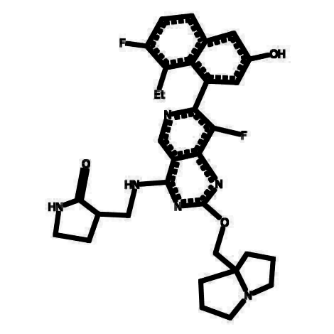 CCc1c(F)ccc2cc(O)cc(-c3ncc4c(NCC5CCNC5=O)nc(OCC56CCCN5CCC6)nc4c3F)c12